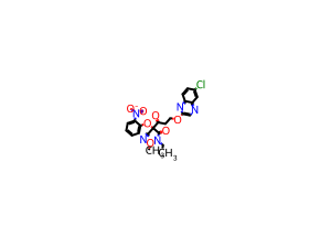 CCN(OC)C(=O)C(C#N)(Oc1ccccc1[N+](=O)[O-])C(=O)CCOc1cnc2cc(Cl)ccc2n1